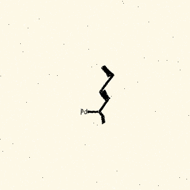 C=CC=C[CH](C)[Pd]